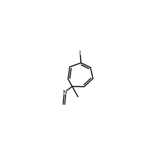 C=NC1(C)C=CC=C(I)C=C1